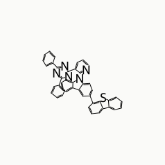 c1ccc(-c2nc(-c3ccccc3)nc(-c3cccnc3-n3c4ccccc4c4cc(-c5cccc6c5sc5ccccc56)ccc43)n2)cc1